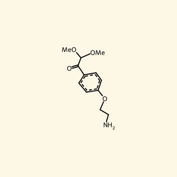 COC(OC)C(=O)c1ccc(OCCN)cc1